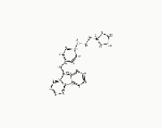 c1ccc2c(c1)c1ccccc1n2Cc1ccc(OCCN2CCCC2)cc1